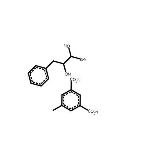 CCCC(O)C(O)Cc1ccccc1.Cc1cc(C(=O)O)cc(C(=O)O)c1